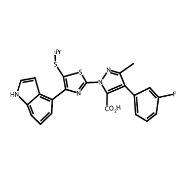 Cc1nn(-c2nc(-c3cccc4[nH]ccc34)c(SC(C)C)s2)c(C(=O)O)c1-c1cccc(F)c1